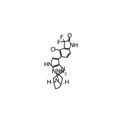 N[C@H]1C[C@H]2CC[C@@H](C1)N2c1cnc2c(-c3ccc4c(c3Cl)C(F)(F)C(=O)N4)c[nH]c2n1